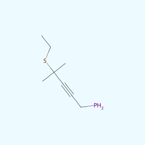 CCSC(C)(C)C#CCP